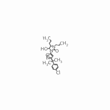 C=CCC1C(O)N(c2cc(C(C)(C)c3ccc(Cl)cc3)no2)C(=O)N1CC=C